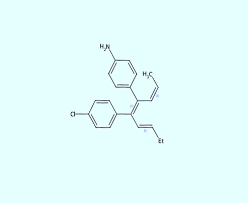 C\C=C/C(=C(\C=C\CC)c1ccc(Cl)cc1)c1ccc(N)cc1